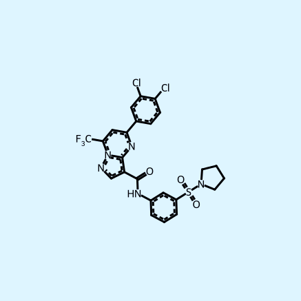 O=C(Nc1cccc(S(=O)(=O)N2CCCC2)c1)c1cnn2c(C(F)(F)F)cc(-c3ccc(Cl)c(Cl)c3)nc12